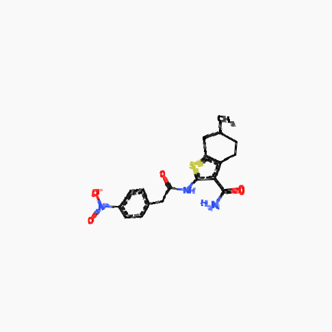 CC1CCc2c(sc(NC(=O)Cc3ccc([N+](=O)[O-])cc3)c2C(N)=O)C1